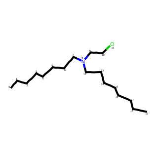 CCCCCCCCN(CCCl)CCCCCCCC